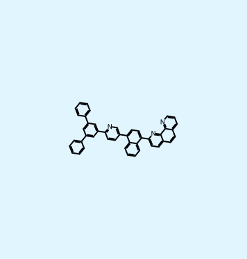 c1ccc(-c2cc(-c3ccccc3)cc(-c3ccc(-c4ccc(-c5ccc6ccc7cccnc7c6n5)c5ccccc45)cn3)c2)cc1